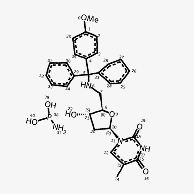 COc1ccc(C(NC[C@H]2O[C@@H](n3cc(C)c(=O)[nH]c3=O)C[C@@H]2O)(c2ccccc2)c2ccccc2)cc1.NP(O)O